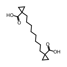 O=C(O)C1(CCCCCCCCC2(C(=O)O)CC2)CC1